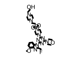 COc1cccc2c1nc(CF)n2-c1nc(N2CCOCC2)nc(N2CCN(S(=O)(=O)CCN3CCN(CCO)CC3)CC2)n1